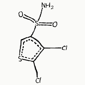 NS(=O)(=O)c1csc(Cl)c1Cl